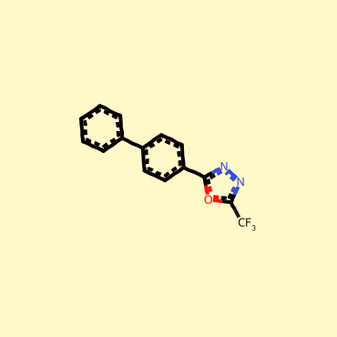 FC(F)(F)c1nnc(-c2ccc(-c3ccccc3)cc2)o1